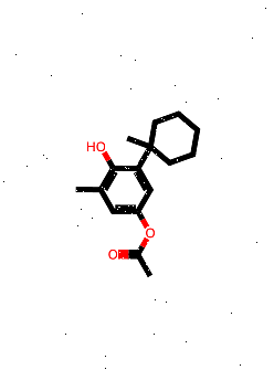 CC(=O)Oc1cc(C)c(O)c(C2(C)CCCCC2)c1